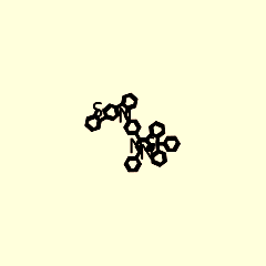 c1ccc(-c2nc(-c3ccc(-n4c5ccccc5c5cc6sc7ccccc7c6cc54)cc3)c3c(n2)[Si](c2ccccc2)(c2ccccc2)c2ccccc2-3)cc1